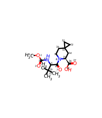 COC(=O)NC(C(=O)N1CCC2(CC2)C[C@H]1C(=O)O)C(C)(C)C